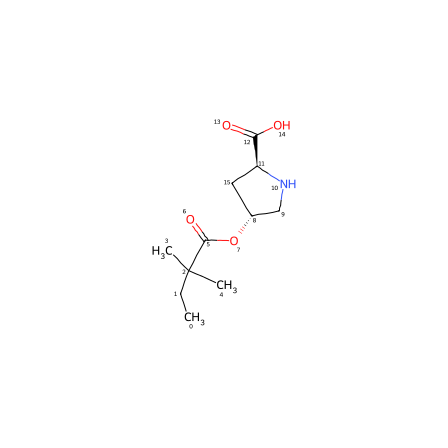 CCC(C)(C)C(=O)O[C@H]1CN[C@H](C(=O)O)C1